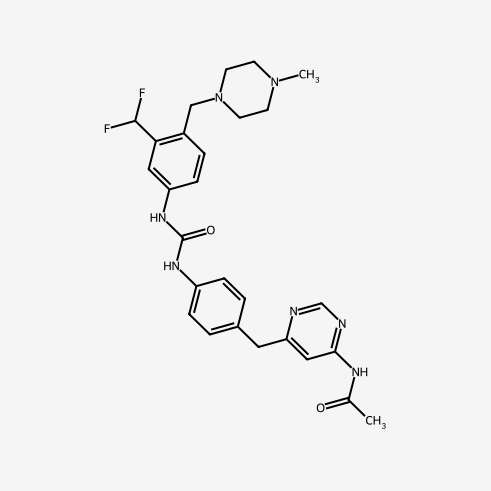 CC(=O)Nc1cc(Cc2ccc(NC(=O)Nc3ccc(CN4CCN(C)CC4)c(C(F)F)c3)cc2)ncn1